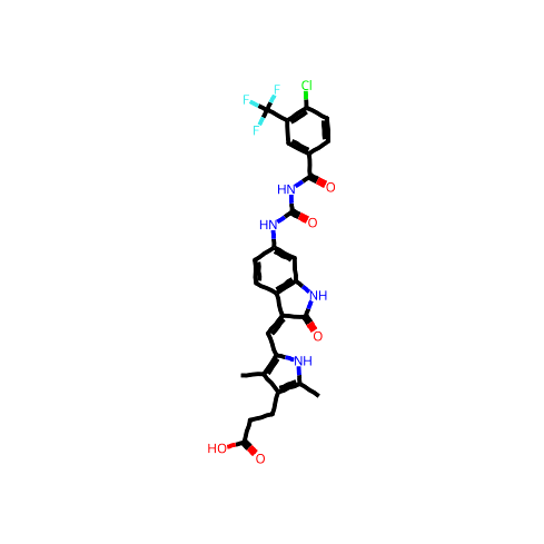 Cc1[nH]c(/C=C2\C(=O)Nc3cc(NC(=O)NC(=O)c4ccc(Cl)c(C(F)(F)F)c4)ccc32)c(C)c1CCC(=O)O